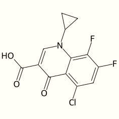 O=C(O)c1cn(C2CC2)c2c(F)c(F)cc(Cl)c2c1=O